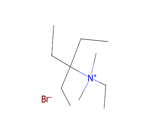 CCC(CC)(CC)[N+](C)(C)CC.[Br-]